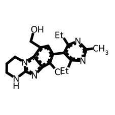 CCc1nc(C)nc(CC)c1-c1cc(CO)c2c(nc3n2CCCN3)c1Cl